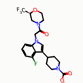 CC(C)(C)OC(=O)N1CCC(c2cn(CC(=O)N3CCO[C@H](C(F)(F)F)C3)c3cccc(F)c23)CC1